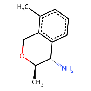 Cc1cccc2c1CO[C@H](C)[C@H]2N